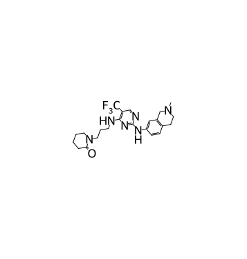 CN1CCc2ccc(Nc3ncc(C(F)(F)F)c(NCCCN4CCCCC4=O)n3)cc2C1